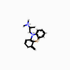 C=C1CC=CC2=C1Sc1ccccc1N2CC(C)N(C)C